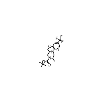 CC1CN2c3ncc(C(F)(F)F)cc3OCC2CN1C(=O)OC(C)(C)C